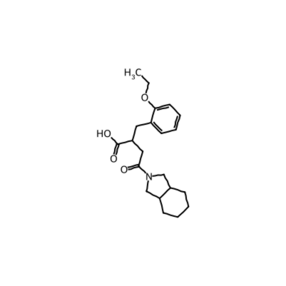 CCOc1ccccc1CC(CC(=O)N1CC2CCCCC2C1)C(=O)O